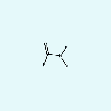 O=C(F)N(F)F